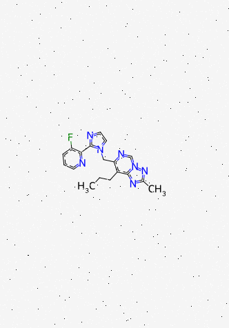 CCCc1c(Cn2ccnc2-c2ncccc2F)ncn2nc(C)nc12